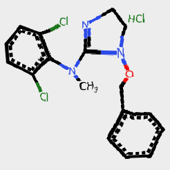 CN(C1=NCCN1OCc1ccccc1)c1c(Cl)cccc1Cl.Cl